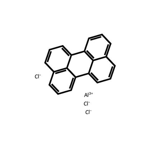 [Al+3].[Cl-].[Cl-].[Cl-].c1cc2cccc3c4cccc5cccc(c(c1)c23)c54